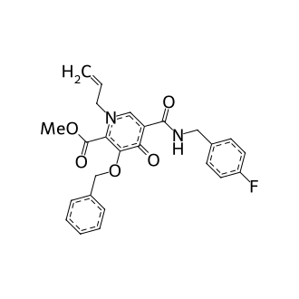 C=CCn1cc(C(=O)NCc2ccc(F)cc2)c(=O)c(OCc2ccccc2)c1C(=O)OC